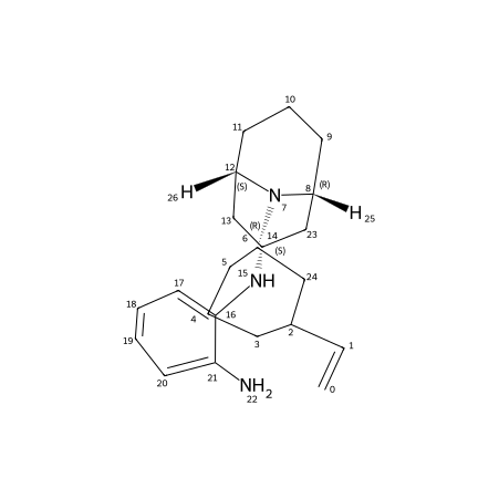 C=CC1CCC[C@H](N2[C@@H]3CCC[C@H]2C[C@@H](Nc2ccccc2N)C3)C1